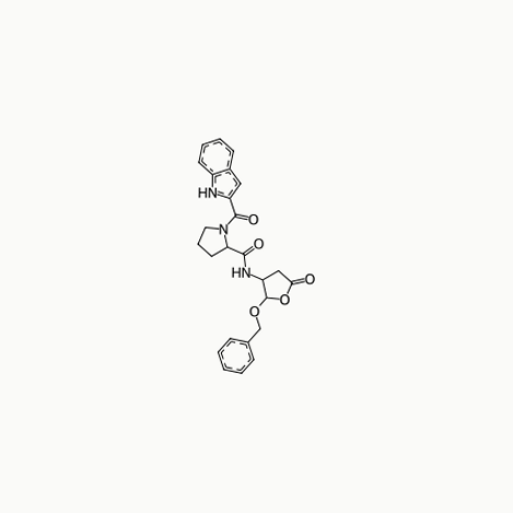 O=C1CC(NC(=O)C2CCCN2C(=O)c2cc3ccccc3[nH]2)C(OCc2ccccc2)O1